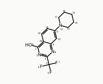 Oc1nc(C(F)(F)F)nc2cc(N3CCCCC3)ccc12